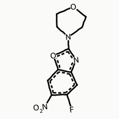 O=[N+]([O-])c1cc2oc(N3CCOCC3)nc2cc1F